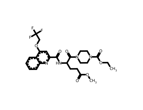 CCOC(=O)N1CCN(C(=O)C(CCC(=O)OC)NC(=O)c2cc(OCC(F)(F)F)c3ccccc3n2)CC1